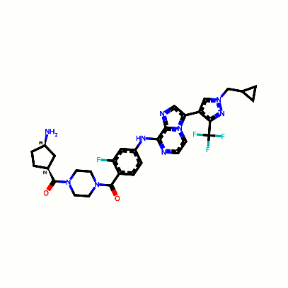 N[C@@H]1CC[C@H](C(=O)N2CCN(C(=O)c3ccc(Nc4nccn5c(-c6cn(CC7CC7)nc6C(F)(F)F)cnc45)cc3F)CC2)C1